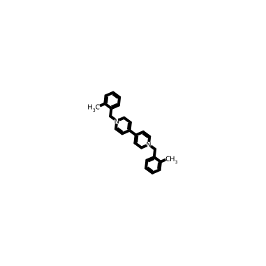 Cc1ccccc1CN1C=CC(C2=CCN(Cc3ccccc3C)C=C2)=CC1